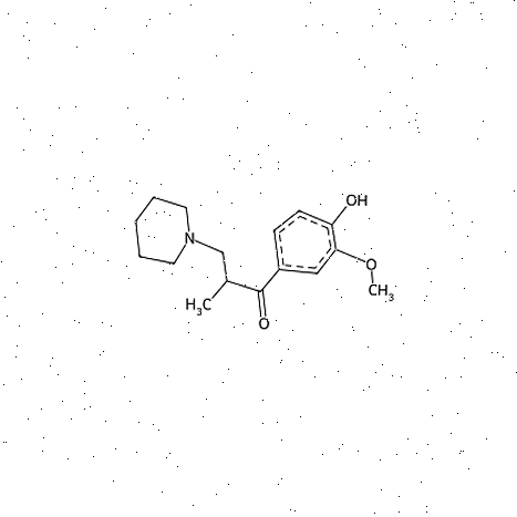 COc1cc(C(=O)C(C)CN2CCCCC2)ccc1O